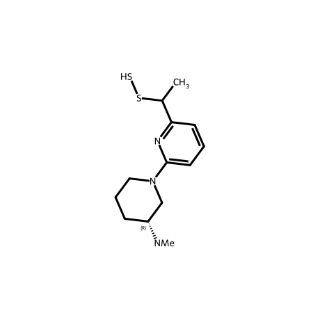 CN[C@@H]1CCCN(c2cccc(C(C)SS)n2)C1